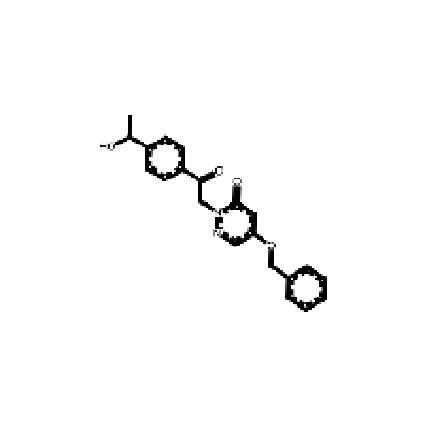 CC(O)c1ccc(C(=O)Cn2ncc(OCc3ccccc3)cc2=O)cc1